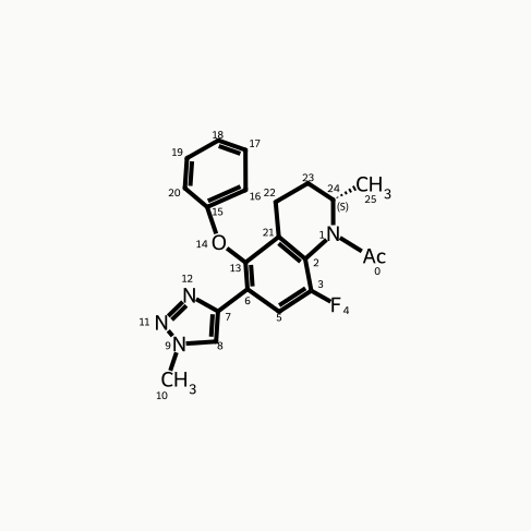 CC(=O)N1c2c(F)cc(-c3cn(C)nn3)c(Oc3ccccc3)c2CC[C@@H]1C